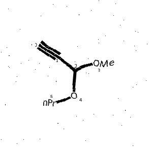 C#CC(OC)OCCC